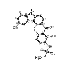 CCS(=O)(=O)Nc1ccc(F)c(C(=O)c2ccc3[nH]c4ncc(Cl)cc4c3c2)c1F